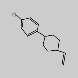 C=CC1CCC(c2ccc(Cl)cc2)CC1